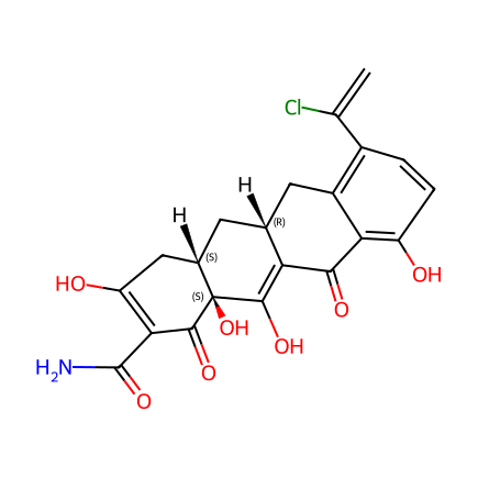 C=C(Cl)c1ccc(O)c2c1C[C@H]1C[C@H]3CC(O)=C(C(N)=O)C(=O)[C@@]3(O)C(O)=C1C2=O